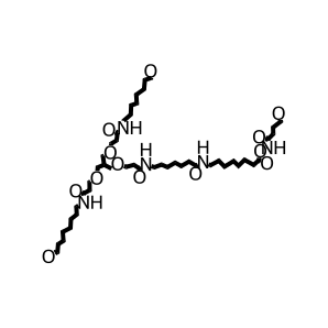 O=CCCCCCCCNC(=O)CCOCC(COCCC(=O)NCCCCCCCC=O)COCCC(=O)NCCCCCCC(=O)NCCCCCCCC(=O)ONC(=O)CCC=O